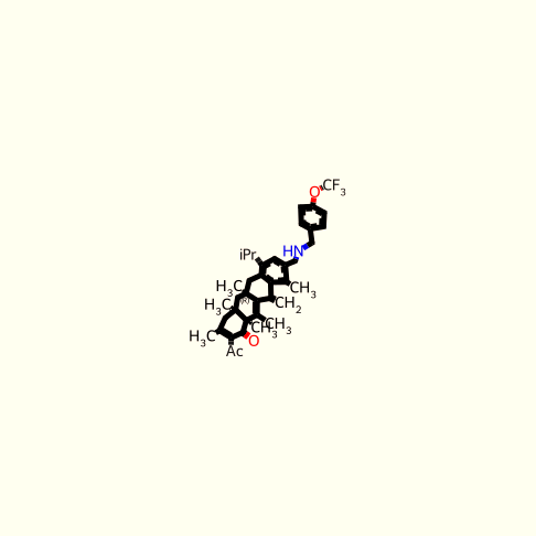 C=C1C2=C(C)[C@]3(C)C(=O)C(C(C)=O)=C(C)C[C@]3(C)C[C@]2(C)Cc2c(C(C)C)cc(CNCc3ccc(OC(F)(F)F)cc3)c(C)c21